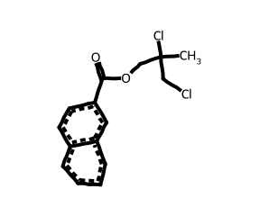 CC(Cl)(CCl)COC(=O)c1ccc2ccccc2c1